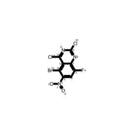 O=[N+]([O-])c1cc(F)c2nc(Cl)nc(Cl)c2c1Br